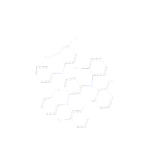 Cc1ccc(N(c2ccccc2)c2cc3c4c(c2)N(c2ccccc2C)c2c(C)cccc2B4c2cccc(C)c2N3c2ccccc2C)c(C)c1